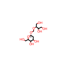 OCC1O[C@H](OCOC(CO)[C@H](O)CO)CC(O)[C@H]1O